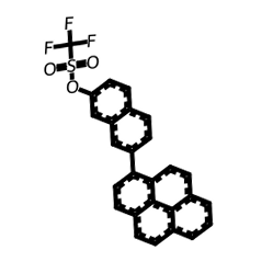 O=S(=O)(Oc1ccc2ccc(-c3ccc4ccc5cccc6ccc3c4c56)cc2c1)C(F)(F)F